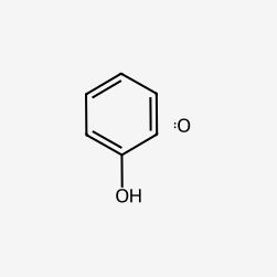 Oc1ccccc1.[O]